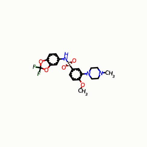 COc1ccc(S(=O)(=O)Nc2ccc3c(c2)OC(F)(F)O3)cc1N1CCN(C)CC1